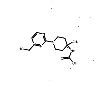 CC1(NC(=O)O)CCN(c2nccc(CO)n2)CC1